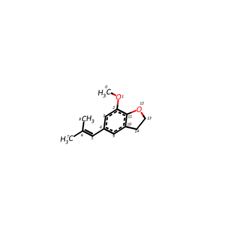 COc1cc(C=C(C)C)cc2c1OCC2